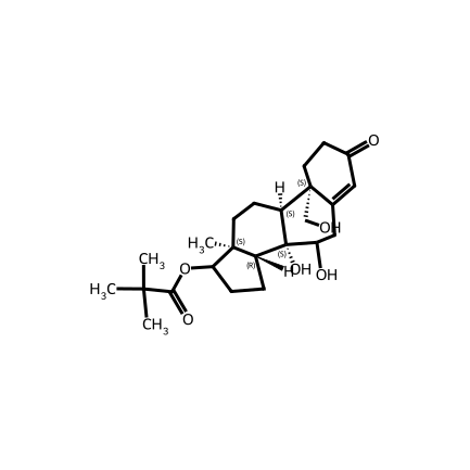 CC(C)(C)C(=O)OC1CC[C@H]2[C@]3(O)C(O)CC4=CC(=O)CC[C@]4(CO)[C@@H]3CC[C@]12C